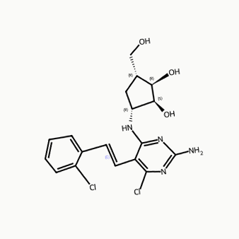 Nc1nc(Cl)c(/C=C/c2ccccc2Cl)c(N[C@@H]2C[C@H](CO)[C@@H](O)[C@H]2O)n1